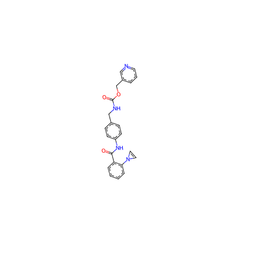 O=C(NCc1ccc(NC(=O)c2ccccc2N2C=C2)cc1)OCc1cccnc1